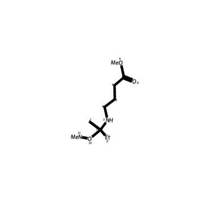 CCC(C)(NCCCC(=O)OC)ONC